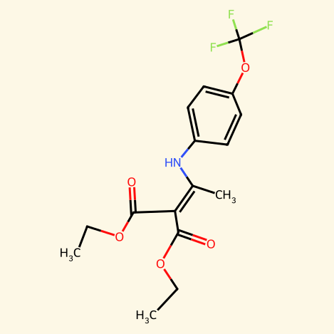 CCOC(=O)C(C(=O)OCC)=C(C)Nc1ccc(OC(F)(F)F)cc1